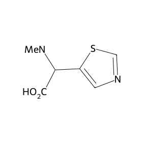 CNC(C(=O)O)c1cncs1